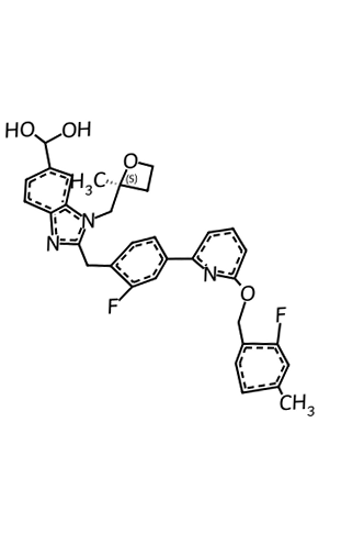 Cc1ccc(COc2cccc(-c3ccc(Cc4nc5ccc(C(O)O)cc5n4C[C@]4(C)CCO4)c(F)c3)n2)c(F)c1